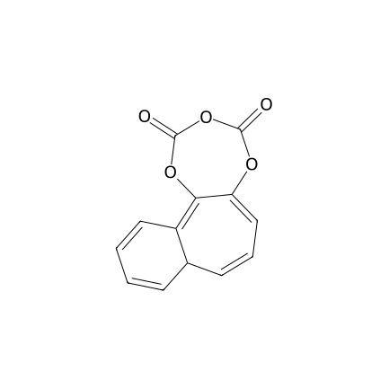 O=C1OC(=O)OC2=C3C=CC=CC3C=CC=C2O1